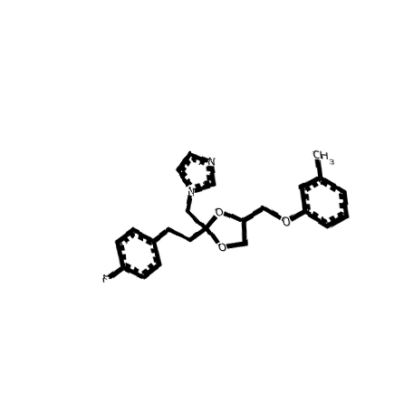 Cc1cccc(OCC2COC(CCc3ccc(F)cc3)(Cn3ccnc3)O2)c1